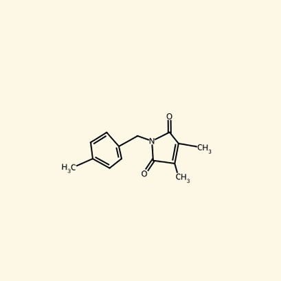 CC1=C(C)C(=O)N(Cc2ccc(C)cc2)C1=O